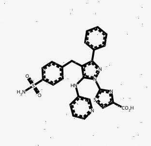 NS(=O)(=O)c1ccc(Cc2c(-c3ccccc3)nn(-c3nc(C(=O)O)cs3)c2Nc2cccnc2)cc1